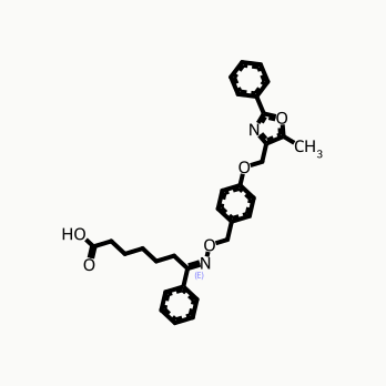 Cc1oc(-c2ccccc2)nc1COc1ccc(CO/N=C(\CCCCCC(=O)O)c2ccccc2)cc1